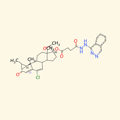 CC(=O)[C@@]1(OC(=O)CCC(=O)NNc2nncc3ccccc23)CCC2C3C=C(Cl)/C(=C/C=O)C(C)([C@H]4CC4C)C3CCC21C